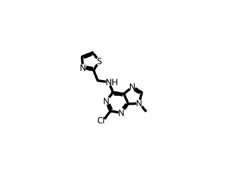 Cn1cnc2c(NCc3nccs3)nc(Cl)nc21